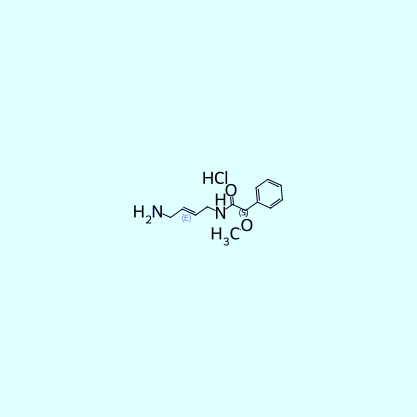 CO[C@H](C(=O)NC/C=C/CN)c1ccccc1.Cl